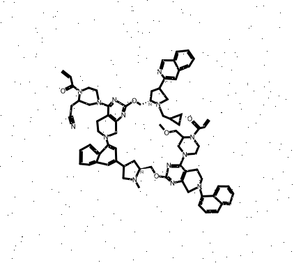 C=CC(=O)N1CCN(c2nc(OC[C@@H]3CC(c4cc5ccccc5cn4)CN3CC3CC3)nc3c2CCN(c2cc(C4C[C@@H](COc5nc6c(c(N7CCN(C(=O)C=C)C(COC)C7)n5)CCN(c5cccc7ccccc57)C6)N(C)C4)cc4ccccc24)C3)CC1CC#N